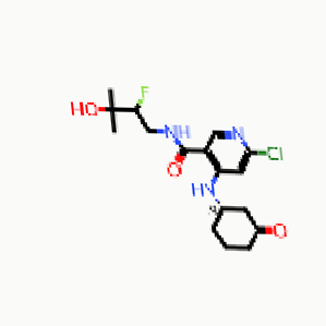 CC(C)(O)C(F)CNC(=O)c1cnc(Cl)cc1N[C@H]1CCCC(=O)C1